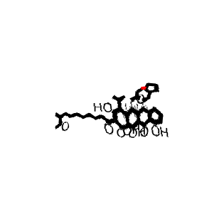 CCC(=O)C[C@@H]1[C@]2(C)C(=C(O)[C@@]3(O)C(=O)C(C(=O)CCCCCCCC(C)C(C)=O)=C(O)C(C(C)C)[C@@]13C)C(=O)c1c(O)cccc1[C@H]2CCC1CCCC1